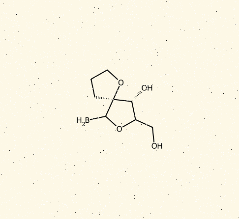 BC1OC(CO)[C@@H](O)[C@@]12CCCO2